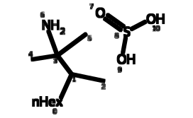 CCCCCCC(C)C(C)(C)N.O=S(O)O